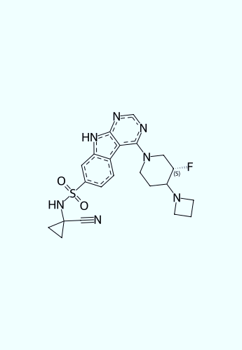 N#CC1(NS(=O)(=O)c2ccc3c(c2)[nH]c2ncnc(N4CCC(N5CCC5)[C@@H](F)C4)c23)CC1